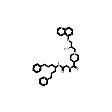 CN(CC(=O)NC(CCCc1ccccc1)CCCc1ccccc1)C(=O)C1CCN(C[C@@H](O)COc2cccc3ncccc23)CC1